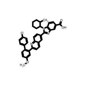 COc1ccc(-c2ccc(Cl)cc2)c(-c2ccc3cc(-c4nc5cc(C(=O)O)ccc5n4C4CCCCC4C)ccc3n2)c1